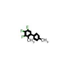 Cc1ccc(-c2cc(F)c(F)c(F)c2C)cc1